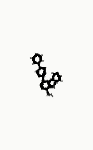 Nc1ccc(-c2ccc(-c3ccccc3)cc2)c2c1oc1ccccc12